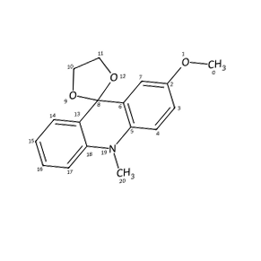 COc1ccc2c(c1)C1(OCCO1)c1ccccc1N2C